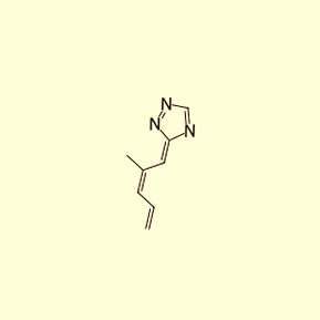 C=C/C=C(C)\C=C1\N=CN=N1